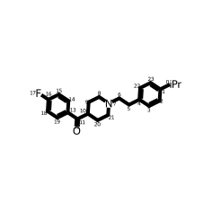 CC(C)c1ccc(CCN2CCC(C(=O)c3ccc(F)cc3)CC2)cc1